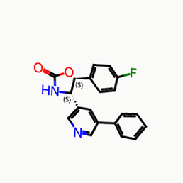 O=C1N[C@@H](c2cncc(-c3ccccc3)c2)[C@H](c2ccc(F)cc2)O1